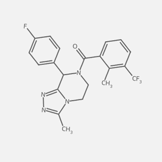 Cc1c(C(=O)N2CCn3c(C)nnc3C2c2ccc(F)cc2)cccc1C(F)(F)F